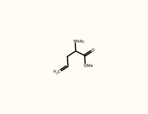 C=CCC(NC(C)=O)C(=O)OC